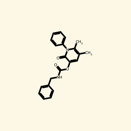 Cc1cc(OC(=O)NCc2ccccc2)c(=O)n(-c2ccccc2)c1C